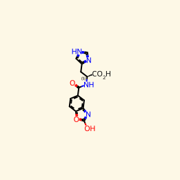 O=C(N[C@@H](Cc1c[nH]cn1)C(=O)O)c1ccc2oc(O)nc2c1